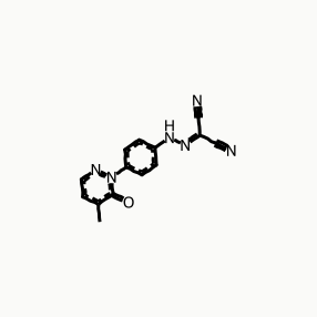 Cc1ccnn(-c2ccc(NN=C(C#N)C#N)cc2)c1=O